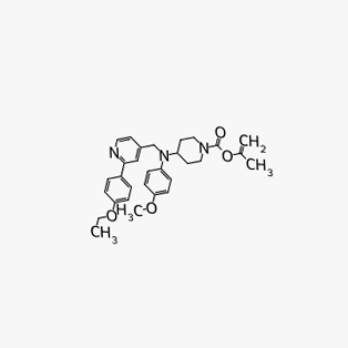 C=C(C)OC(=O)N1CCC(N(Cc2ccnc(-c3ccc(OCC)cc3)c2)c2ccc(OC)cc2)CC1